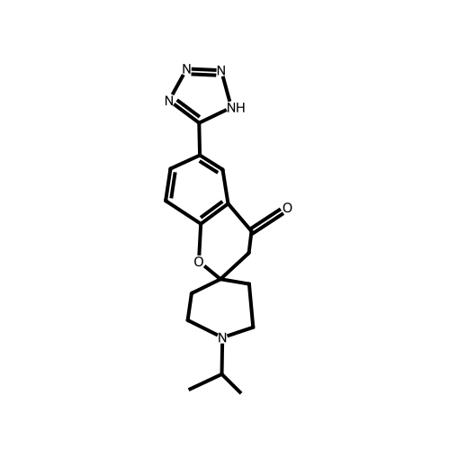 CC(C)N1CCC2(CC1)CC(=O)c1cc(-c3nnn[nH]3)ccc1O2